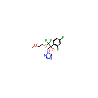 COCCSC(F)(F)C(O)(Cn1cncn1)c1ccc(F)cc1F